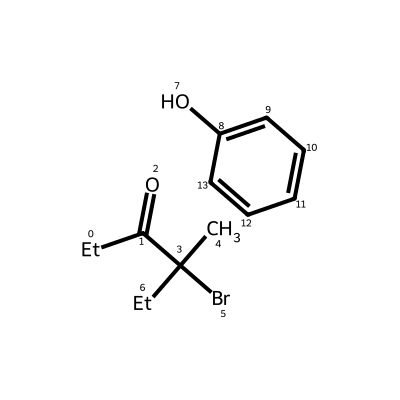 CCC(=O)C(C)(Br)CC.Oc1ccccc1